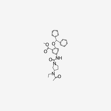 CCN(C(C)=O)C1CCN(C(=O)Nc2ccc(OC(c3ccccc3)c3ccccc3)c(C(=O)OC)c2)C1